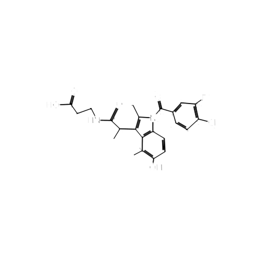 Cc1c(C(C)C(=O)NCCC(=O)O)c2c(F)c(O)ccc2n1C(=O)c1ccc(Cl)c(F)c1